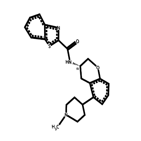 CN1CCC(c2cccc3c2C[C@H](NC(=O)c2nc4ccccc4s2)CO3)CC1